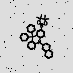 CC1(C)OB(c2ccc3c(c2)C(c2ccccc2)(c2ccccc2)c2ccccc2N3c2ccc3ccccc3c2)OC1(C)C